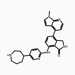 Cn1ccc2c(-c3ccc(Nc4ccc(C5CCCNCC5)cn4)c4c3CNC4=O)ccnc21